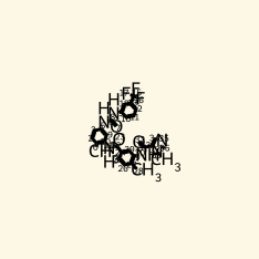 Cc1ccc(NC(=O)Nc2cccc(C(F)(F)F)c2)cc1NC(=O)c1ccc(C)c(NC(=O)c2cncn2C)c1